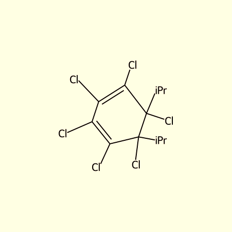 CC(C)C1(Cl)C(Cl)=C(Cl)C(Cl)=C(Cl)C1(Cl)C(C)C